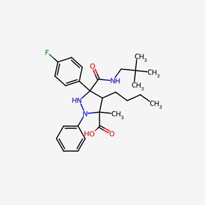 CCCCC1C(C(=O)NCC(C)(C)C)(c2ccc(F)cc2)NN(c2ccccc2)C1(C)C(=O)O